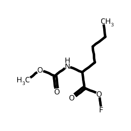 CCCCC(NC(=O)OC)C(=O)OF